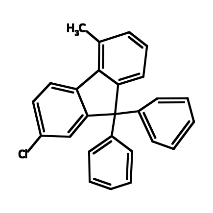 Cc1cccc2c1-c1ccc(Cl)cc1C2(c1ccccc1)c1ccccc1